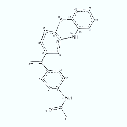 C=C(c1ccc(NC(C)=O)cc1)c1ccc2c(c1)Nc1ccccc1S2